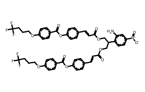 Nc1cc([N+](=O)[O-])ccc1C(COC(=O)/C=C/c1ccc(OC(=O)c2ccc(OCCCC(F)(F)F)cc2)cc1)COC(=O)/C=C/c1ccc(OC(=O)c2ccc(OCCCC(F)(F)F)cc2)cc1